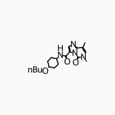 CCCCOC1CCC(NC(=O)c2cnc3c(C)cn(C)c(=O)n23)CC1